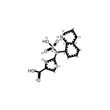 O=C(O)c1csc(N(c2cccc3cccnc23)S(=O)(=O)O)n1